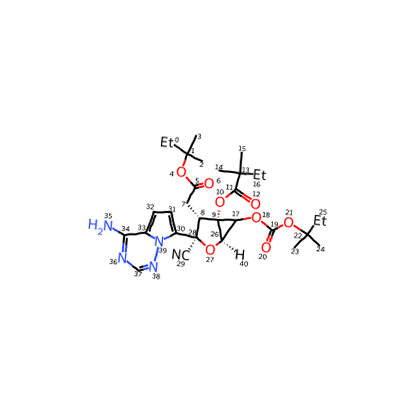 CCC(C)(C)OC(=O)C[C@@H]1[C@@]2(OC(=O)C(C)(C)CC)C(OC(=O)OC(C)(C)CC)[C@H]2O[C@@]1(C#N)c1ccc2c(N)ncnn12